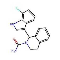 NC(=O)N1CCc2ccccc2C1c1c[nH]c2c(F)cccc12